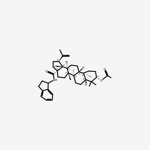 C=C(C)[C@@H]1CC[C@]2(C(=O)NC3CCc4ccccc43)CC[C@]3(C)[C@H](CC[C@@H]4[C@@]5(C)CC[C@H](OC(C)=O)C(C)(C)[C@@H]5CC[C@]43C)[C@@H]12